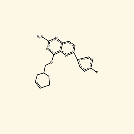 Nc1nc(OCC2CC=CCC2)c2nc(-c3ccc(F)cc3)ccc2n1